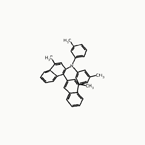 Cc1cccc(N(c2cccc(C)c2)c2cc(C)c3ccccc3c2-c2cc(C)c3ccccc3c2)c1